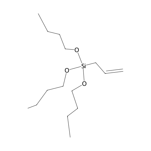 C=CC[Si](OCCCC)(OCCCC)OCCCC